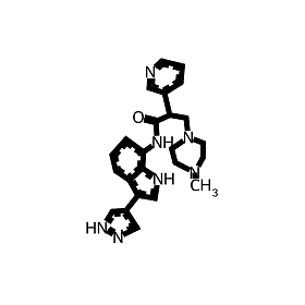 CN1CCN(CC(C(=O)Nc2cccc3c(-c4cn[nH]c4)c[nH]c23)c2cccnc2)CC1